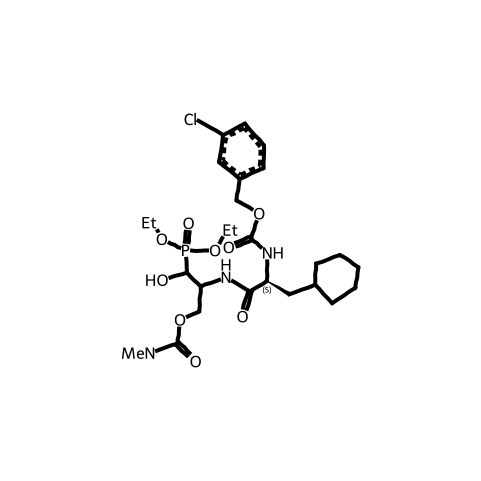 CCOP(=O)(OCC)C(O)C(COC(=O)NC)NC(=O)[C@H](CC1CCCCC1)NC(=O)OCc1cccc(Cl)c1